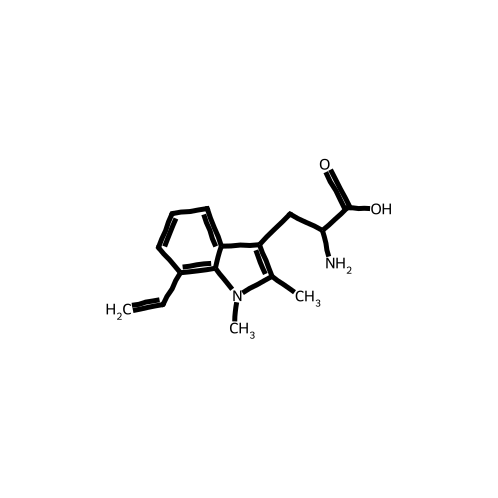 C=Cc1cccc2c(CC(N)C(=O)O)c(C)n(C)c12